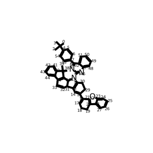 CC(C)(C)c1ccc(-c2nc(N3C4=C(C=C(C5=CCCc6c5oc5ccccc65)CC4)C4C=CC5=C(C43)C(C)(C)c3ccccc35)nc3ccccc23)cc1